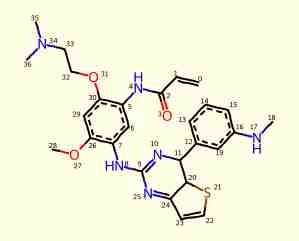 C=CC(=O)Nc1cc(NC2=NC(c3cccc(NC)c3)C3SC=CC3=N2)c(OC)cc1OCCN(C)C